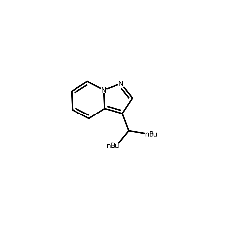 CCCCC(CCCC)c1cnn2ccccc12